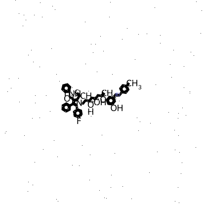 C=C(C[C@H](O)C[C@H](O)CCn1c(-c2ccc(F)cc2)c(-c2ccccc2)c(C(=O)Nc2ccccc2)c1C(C)C)Oc1cc(O)cc(/C=C/c2ccc(C)cc2)c1